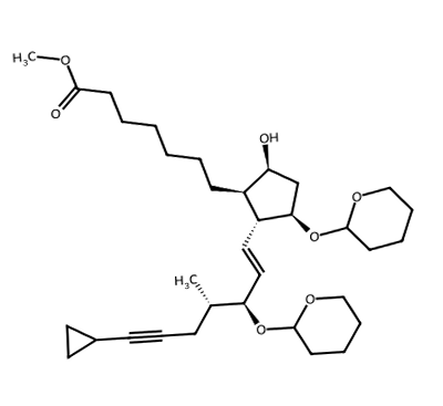 COC(=O)CCCCCC[C@@H]1[C@@H](/C=C/[C@@H](OC2CCCCO2)[C@@H](C)CC#CC2CC2)[C@H](OC2CCCCO2)C[C@@H]1O